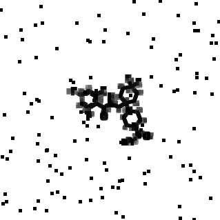 CCC[S+]([O-])N1CCN(C2(CNC(=O)c3c(F)cc(F)cc3F)CCC(F)(F)CC2)CC1